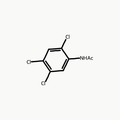 CC(=O)Nc1cc(Cl)c(Cl)cc1Cl